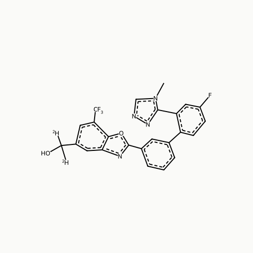 [2H]C([2H])(O)c1cc(C(F)(F)F)c2oc(-c3cccc(-c4ccc(F)cc4-c4nncn4C)c3)nc2c1